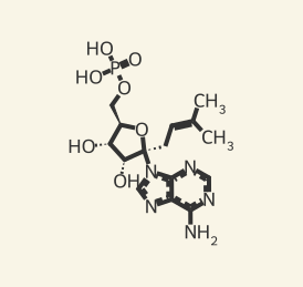 CC(C)=CC[C@@]1(n2cnc3c(N)ncnc32)O[C@H](COP(=O)(O)O)[C@@H](O)[C@H]1O